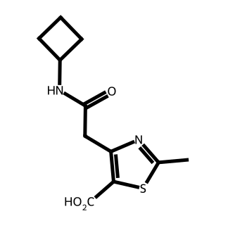 Cc1nc(CC(=O)NC2CCC2)c(C(=O)O)s1